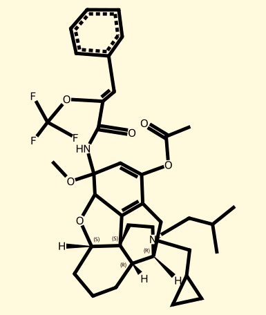 COC1(NC(=O)C(=Cc2ccccc2)OC(F)(F)F)C=C(OC(C)=O)C2=C3C1O[C@H]1CCC[C@H]4[C@@H](C2)[N+](CC(C)C)(CC2CC2)CC[C@]314